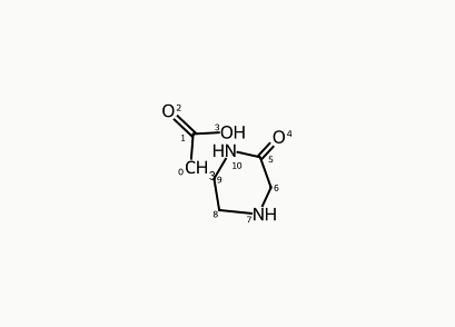 CC(=O)O.O=C1CNCCN1